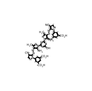 [C-]#[N+]c1cnn(-c2cc(C(=O)O)cc(C(=O)O)c2)c1/N=N/c1c(C)nn(-c2nc(O)nc(-n3nc(C)c(/N=N/c4c(C#N)cnn4-c4cc(C(=O)O)cc(C(=O)O)c4)c3N)n2)c1N